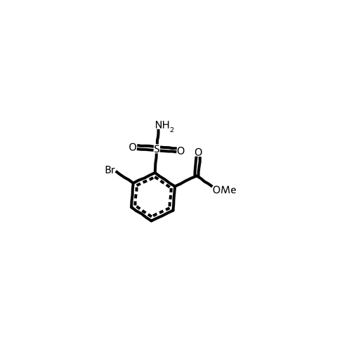 COC(=O)c1cccc(Br)c1S(N)(=O)=O